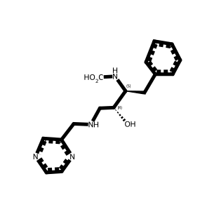 O=C(O)N[C@@H](Cc1ccccc1)[C@H](O)CNCc1cnccn1